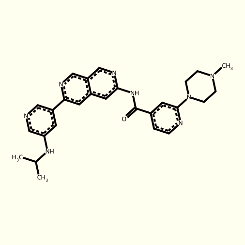 CC(C)Nc1cncc(-c2cc3cc(NC(=O)c4ccnc(N5CCN(C)CC5)c4)ncc3cn2)c1